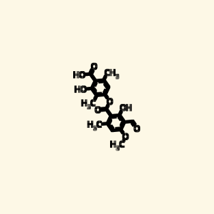 COc1cc(C)c(C(=O)Oc2cc(C)c(C(=O)O)c(O)c2C)c(O)c1C=O